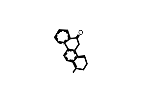 CC1=c2ccc3c(c2=CCC1)CC(=O)c1ccccc1-3